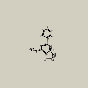 O=Cc1cc(-c2ccccc2)nc2[nH]ccc12